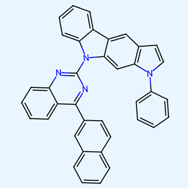 c1ccc(-n2ccc3cc4c5ccccc5n(-c5nc(-c6ccc7ccccc7c6)c6ccccc6n5)c4cc32)cc1